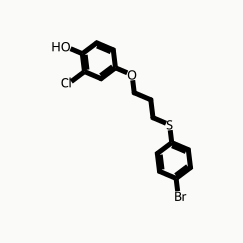 Oc1ccc(OCCCSc2ccc(Br)cc2)cc1Cl